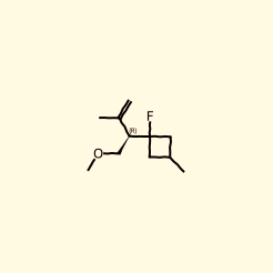 C=C(C)[C@H](COC)C1(F)CC(C)C1